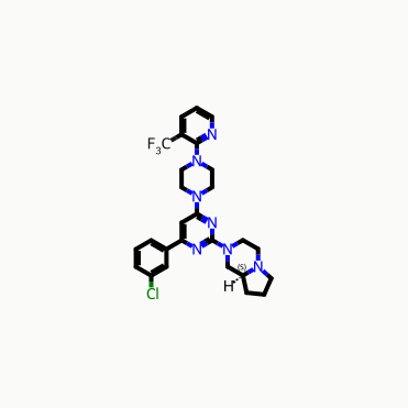 FC(F)(F)c1cccnc1N1CCN(c2cc(-c3cccc(Cl)c3)nc(N3CCN4CCC[C@H]4C3)n2)CC1